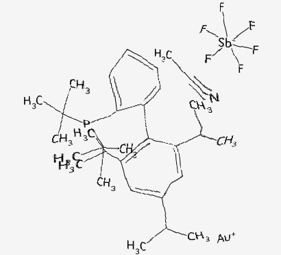 CC#N.CC(C)c1cc(C(C)C)c(-c2ccccc2P(C(C)(C)C)C(C)(C)C)c(C(C)C)c1.[Au+].[F][Sb-]([F])([F])([F])([F])[F]